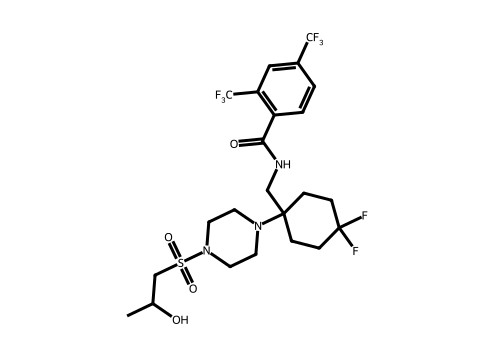 CC(O)CS(=O)(=O)N1CCN(C2(CNC(=O)c3ccc(C(F)(F)F)cc3C(F)(F)F)CCC(F)(F)CC2)CC1